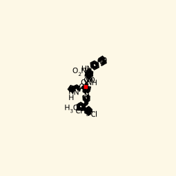 CC1(C)CCC(CN2CCN(c3ccc(C(=O)NS(=O)(=O)c4ccc(N[C@H]5CC[C@H](N6CCOCC6)CC5)c([N+](=O)[O-])c4)c(Oc4cnc5[nH]ccc5c4)c3)CC2)=C(c2ccc(Cl)cc2)C1